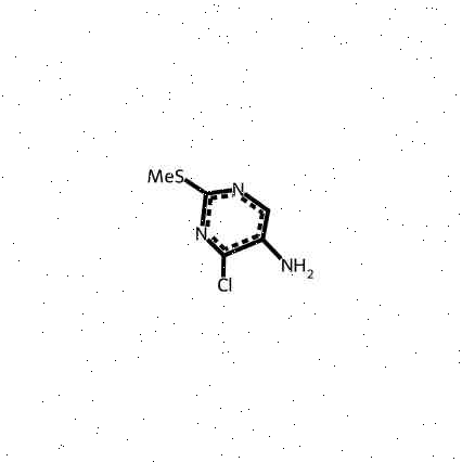 CSc1ncc(N)c(Cl)n1